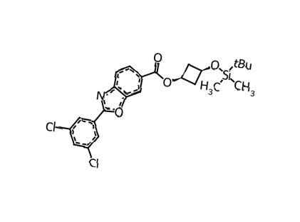 CC(C)(C)[Si](C)(C)O[C@H]1C[C@@H](OC(=O)c2ccc3nc(-c4cc(Cl)cc(Cl)c4)oc3c2)C1